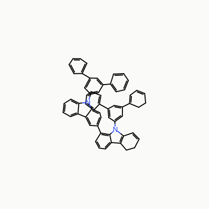 C1=CCCC(c2cc(-c3ccccc3)cc(-n3c4c(c5cccc(-c6ccc7c(c6)c6ccccc6n7-c6cc(-c7ccccc7)cc(-c7ccccc7)c6)c53)CCC=C4)c2)=C1